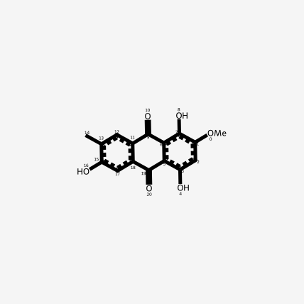 COc1cc(O)c2c(c1O)C(=O)c1cc(C)c(O)cc1C2=O